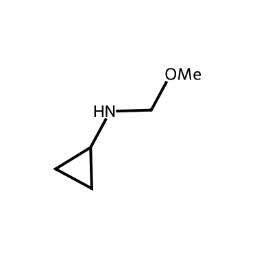 COCNC1CC1